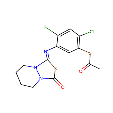 CC(=O)Sc1cc(N=c2sc(=O)n3n2CCCC3)c(F)cc1Cl